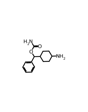 NC(=O)OC(c1ccccc1)C1CCC(N)CC1